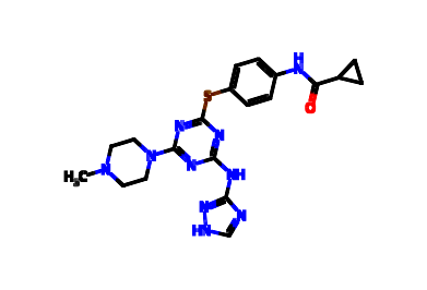 CN1CCN(c2nc(Nc3nc[nH]n3)nc(Sc3ccc(NC(=O)C4CC4)cc3)n2)CC1